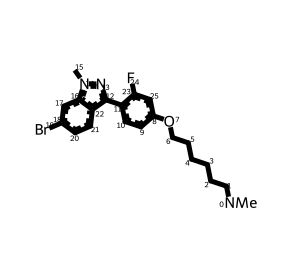 CNCCCCCCOc1ccc(-c2nn(C)c3cc(Br)ccc23)c(F)c1